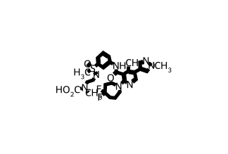 Cc1c(-c2cnn(C)c2)cnc(N2CCCC(F)(F)CC2)c1C(=O)Nc1cccc(S(C)(=O)=NCCN(C)C(=O)O)c1